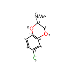 CNC1COc2cc(Cl)ccc2O1